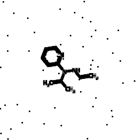 C=CNN(C(=C)C)c1ccccn1